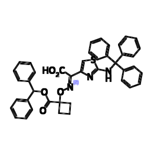 O=C(O)/C(=N\OC1(C(=O)OC(c2ccccc2)c2ccccc2)CCC1)c1csc(NC(c2ccccc2)(c2ccccc2)c2ccccc2)n1